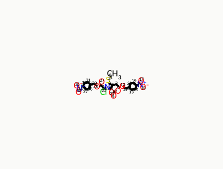 CCSC1C(CC(OC=O)OCc2ccc([N+](=O)[O-])cc2)C(=O)N1C(Cl)C(=O)OCc1ccc([N+](=O)[O-])cc1